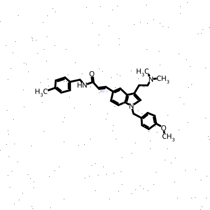 COc1ccc(Cn2cc(CCN(C)C)c3cc(/C=C/C(=O)NCc4ccc(C)cc4)ccc32)cc1